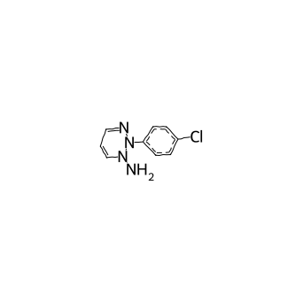 NN1C=CC=NN1c1ccc(Cl)cc1